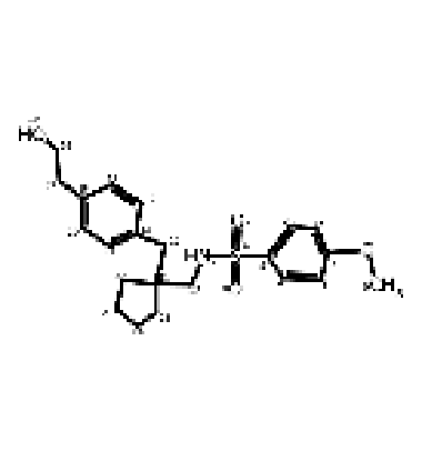 COc1ccc(S(=O)(=O)NCC2(Cc3ccc(CCO)cc3)CCCC2)cc1